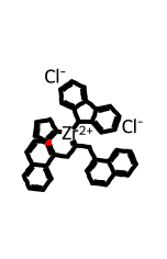 C1=CC[C]([Zr+2](=[C](Cc2cccc3ccccc23)Cc2cccc3ccccc23)[CH]2c3ccccc3-c3ccccc32)=C1.[Cl-].[Cl-]